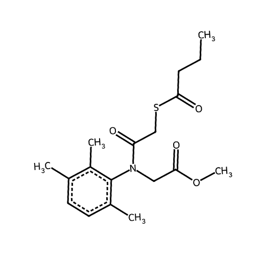 CCCC(=O)SCC(=O)N(CC(=O)OC)c1c(C)ccc(C)c1C